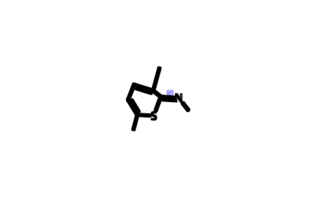 C/N=c1\sc(C)ccc1C